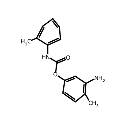 Cc1ccc(OC(=O)Nc2ccccc2C)cc1N